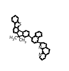 CC1(C)c2cc(-c3ccc(-c4ccc5ccc6cccnc6c5n4)c4ccccc34)ccc2-c2c1ccc1c2sc2ccccc21